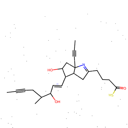 CC#CCC(C)C(O)/C=C/C1C(O)CC2(C#CC)N=C(CCCC(=O)S)CC12